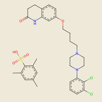 Cc1cc(C)c(S(=O)(=O)O)c(C)c1.O=C1CCc2ccc(OCCCCN3CCN(c4cccc(Cl)c4Cl)CC3)cc2N1